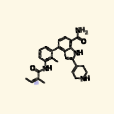 C/C=C(/C)C(=O)Nc1cccc(-c2ccc(C(N)=O)c3[nH]c(C4=CCNCC4)cc23)c1C